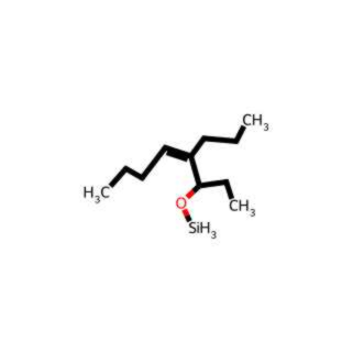 CCCC=C(CCC)C(CC)O[SiH3]